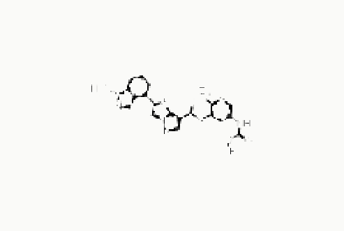 Cc1ncc(NC(=O)OC(C)(C)C)cc1NC(=O)c1cnn2cc(-c3cccc4c3cnn4C)sc12